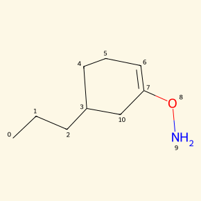 CCCC1CCC=C(ON)C1